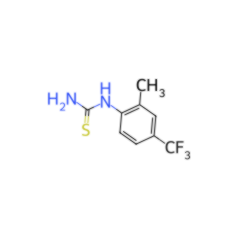 Cc1cc(C(F)(F)F)ccc1NC(N)=S